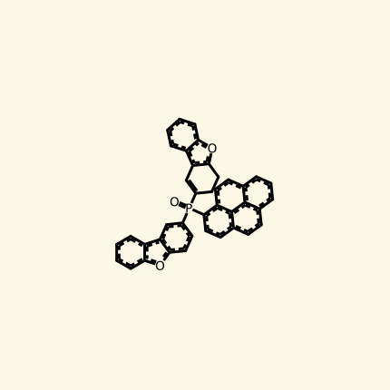 O=P(C1=Cc2c(oc3ccccc23)CC1)(c1ccc2oc3ccccc3c2c1)c1ccc2ccc3cccc4ccc1c2c34